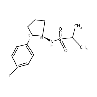 CC(C)S(=O)(=O)N[C@@H]1CCC[C@H]1c1ccc(I)cc1